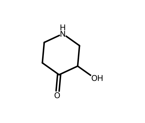 O=C1CCNCC1O